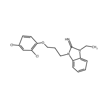 CCn1c(=N)n(CCCOc2ccc(Cl)cc2Cl)c2ccccc21